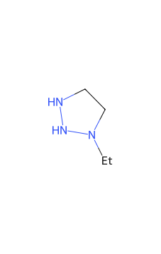 CCN1CCNN1